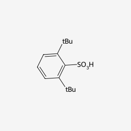 CC(C)(C)c1cccc(C(C)(C)C)c1S(=O)(=O)O